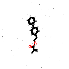 C=C(C)C(=O)OCCc1ccc(-c2ccccc2)cc1